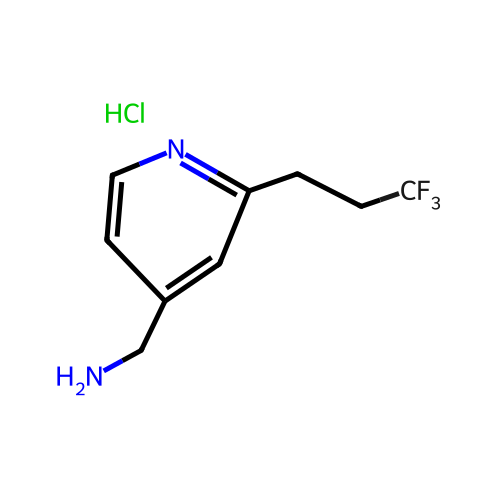 Cl.NCc1ccnc(CCC(F)(F)F)c1